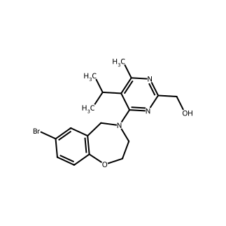 Cc1nc(CO)nc(N2CCOc3ccc(Br)cc3C2)c1C(C)C